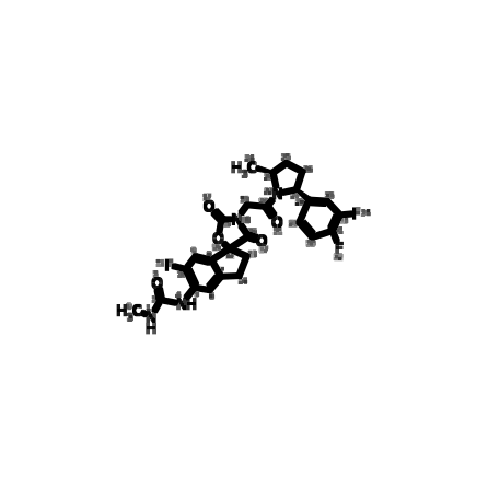 CNC(=O)Nc1cc2c(cc1F)C1(CC2)OC(=O)N(CC(=O)N2[C@@H](C)CC[C@H]2c2ccc(F)c(F)c2)C1=O